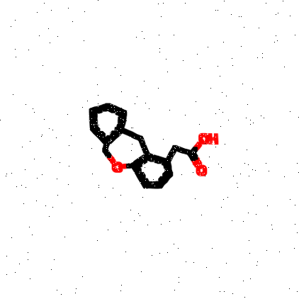 O=C(O)Cc1cccc2c1Cc1ccccc1CO2